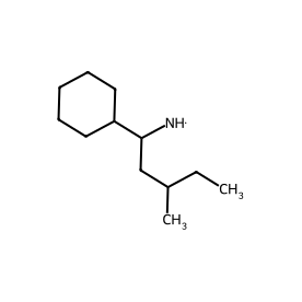 CCC(C)CC([NH])C1CCCCC1